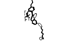 CCCCCc1ccc(-c2cc3ccc(OCCCCC4CO4)cc3o2)c(C(F)(F)F)c1